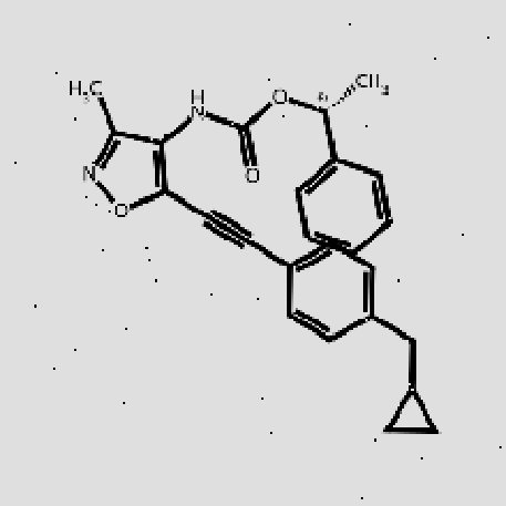 Cc1noc(C#Cc2ccc(CC3CC3)cc2)c1NC(=O)O[C@H](C)c1ccccc1